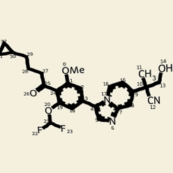 COc1cc(-c2cnc3cc(C(C)(C#N)CO)ccn23)cc(OC(F)F)c1C(=O)CCCC1CC1